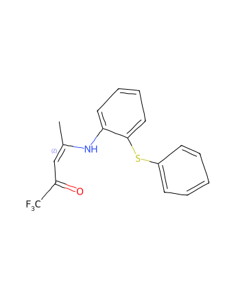 C/C(=C/C(=O)C(F)(F)F)Nc1ccccc1Sc1ccccc1